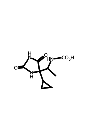 CC(NC(=O)O)C1(C2CC2)NC(=O)NC1=O